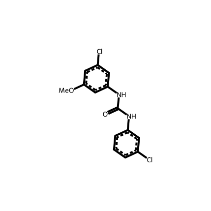 COc1cc(Cl)cc(NC(=O)Nc2cccc(Cl)c2)c1